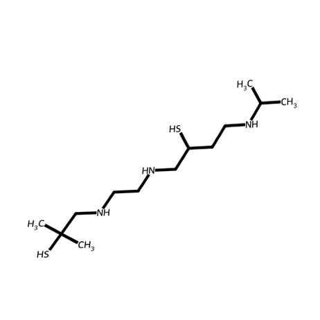 CC(C)NCCC(S)CNCCNCC(C)(C)S